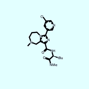 CNC(=O)[C@@H](NC(=O)c1nc(-c2cncc(Cl)c2)n2c1CN(C)CCC2)C(C)(C)C